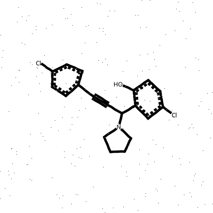 Oc1ccc(Cl)cc1C(C#Cc1ccc(Cl)cc1)N1CCCC1